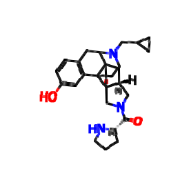 O=C([C@@H]1CCCN1)N1C[C@H]2CC34CCC1C2C31CCN(CC2CC2)C4Cc2ccc(O)cc21